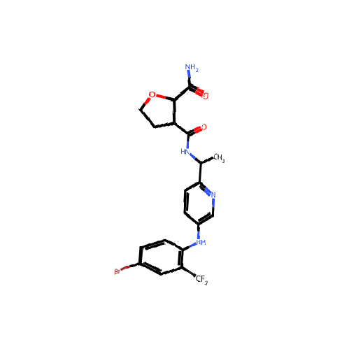 CC(NC(=O)C1CCOC1C(N)=O)c1ccc(Nc2ccc(Br)cc2C(F)(F)F)cn1